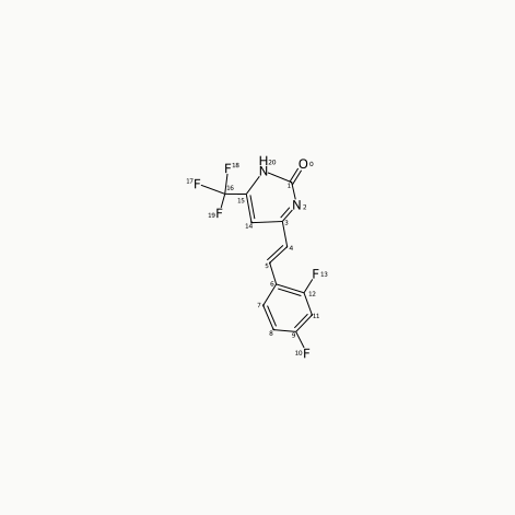 O=c1nc(/C=C/c2ccc(F)cc2F)cc(C(F)(F)F)[nH]1